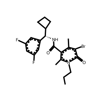 CCCn1c(C)c(C(=O)N[C@H](c2cc(F)cc(F)c2)C2CCC2)c(C)c(Br)c1=O